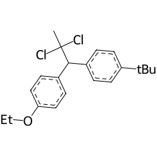 CCOc1ccc(C(c2ccc(C(C)(C)C)cc2)C(C)(Cl)Cl)cc1